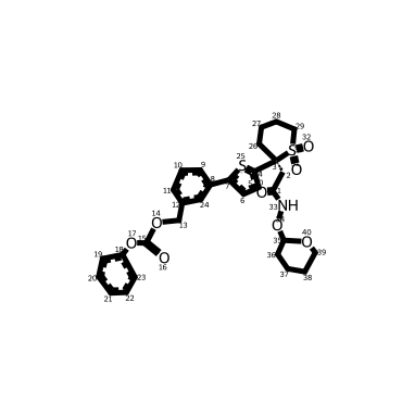 O=C(C[C@]1(c2ccc(-c3cccc(COC(=O)Oc4ccccc4)c3)s2)CCCCS1(=O)=O)NOC1CCCCO1